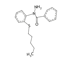 CCCCCSc1ccccc1N(N)C(=O)c1ccccc1